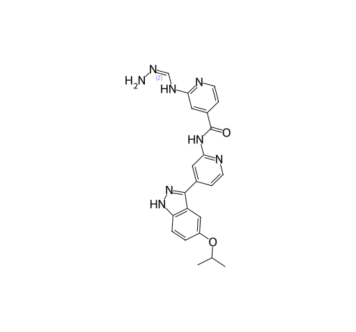 CC(C)Oc1ccc2[nH]nc(-c3ccnc(NC(=O)c4ccnc(N/C=N\N)c4)c3)c2c1